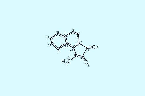 CN1C(=O)C(=O)c2ccc3ccccc3c21